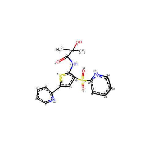 CC(O)(C(=O)Nc1sc(-c2ccccn2)cc1S(=O)(=O)c1ccccn1)C(F)(F)F